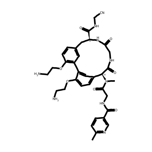 Cc1ccc(C(=O)NCC(=O)N(C)[C@@H]2C(=O)NCC(=O)N[C@H](C(=O)NCC#N)Cc3ccc(OCCN)c(c3)-c3cc2ccc3OCCN)cn1